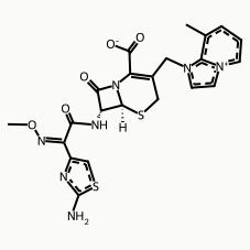 CO/N=C(\C(=O)N[C@@H]1C(=O)N2C(C(=O)[O-])=C(Cn3cc[n+]4cccc(C)c34)CS[C@@H]12)c1csc(N)n1